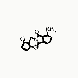 Nc1cccc2c1C(=O)N(Cc1c(Cl)cccc1Cl)C2=O